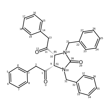 O=C(Cc1ccccc1)[C@@H]1[C@H](C(=O)Cc2ccccc2)N(Cc2ccccc2)C(=O)N1Cc1ccccc1